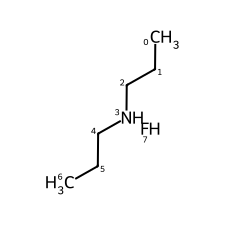 CCCNCCC.F